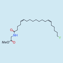 COC(=O)CNC(=O)CCC/C=C\CCCCCCC/C=C\CCCCCF